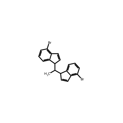 CC(C1C=Cc2c(Br)cccc21)C1C=Cc2c(Br)cccc21